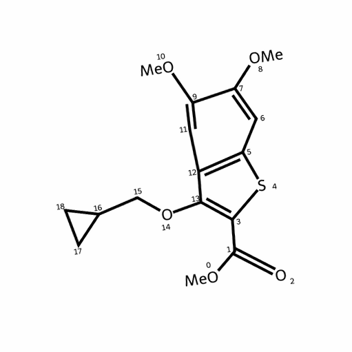 COC(=O)c1sc2cc(OC)c(OC)cc2c1OCC1CC1